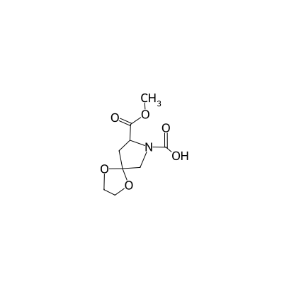 COC(=O)C1CC2(CN1C(=O)O)OCCO2